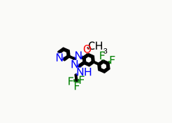 COc1cc(-c2cccc(F)c2F)cc2c(NCC(F)(F)F)nc(-c3cccnc3)nc12